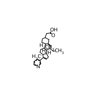 CCC1C=C2CC(CC(=O)O)CC[C@]2(C)[C@@H]2CC[C@]3(C)C(c4cccnc4)=CC[C@H]3[C@H]12